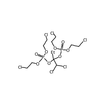 CCC(OP(=O)(OCCCl)OCCCl)(OP(=O)(OCCCl)OCCCl)C(Cl)Cl